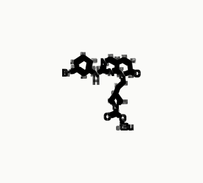 CC(C)(C)OC(=O)N1CC(CCn2c(=O)ccc3cnc(Nc4cccc(Br)c4)nc32)C1